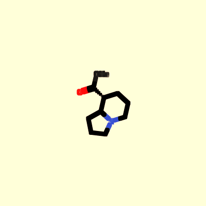 COC(=O)[C@@H]1CCCN2CCCC12